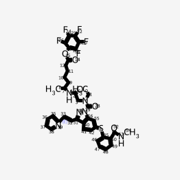 CCN(CC(=O)NC(C)CCCCC(=O)Oc1c(F)c(F)c(F)c(F)c1F)C(=O)n1nc(/C=C/c2ccccn2)c2ccc(Sc3ccccc3C(=O)NC)cc21